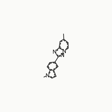 Cc1ccn2nc(-c3ccc4c(ccn4C)c3)nc2c1